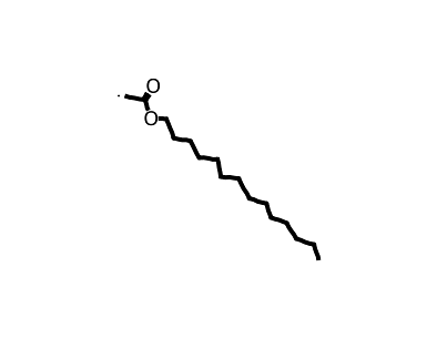 [CH2]C(=O)OCCCCCCCCCCCCCC